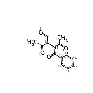 CC(=O)C(C=O)N(C(C)=O)C(=O)c1ccccc1